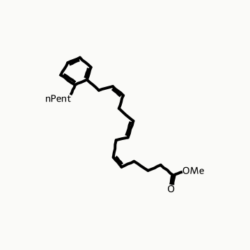 CCCCCc1ccccc1C/C=C\C/C=C\C/C=C\CCCC(=O)OC